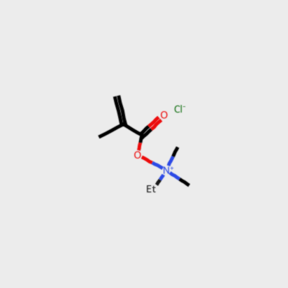 C=C(C)C(=O)O[N+](C)(C)CC.[Cl-]